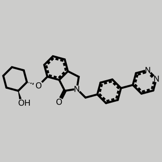 O=C1c2c(cccc2O[C@H]2CCCC[C@@H]2O)CN1Cc1ccc(-c2ccnnc2)cc1